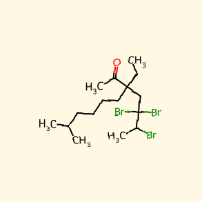 CCC(CCCCC(C)C)(CC(Br)(Br)C(C)Br)C(C)=O